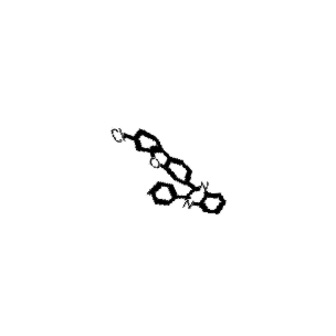 Clc1ccc2c(c1)oc1cc(-c3nc4ccccc4nc3-c3ccccc3)ccc12